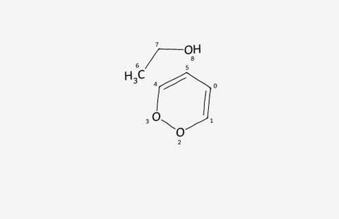 C1=COOC=C1.CCO